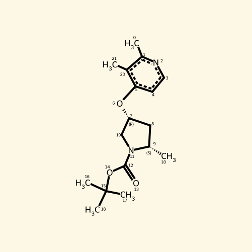 Cc1nccc(O[C@@H]2C[C@H](C)N(C(=O)OC(C)(C)C)C2)c1C